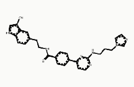 N#Cc1c[nH]c2ccc(CCNC(=O)c3ccc(-c4ccnc(NCCCn5ccnc5)n4)cc3)cc12